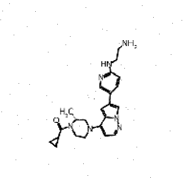 C[C@@H]1CN(c2ccnn3cc(-c4ccc(NCCN)nc4)cc23)CCN1C(=O)C1CC1